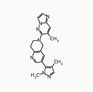 Cc1cc2nccn2nc1N1CCc2ncc(-c3c(C)cnn3C)cc2C1